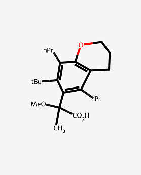 CCCc1c2c(c(C(C)C)c(C(C)(OC)C(=O)O)c1C(C)(C)C)CCCO2